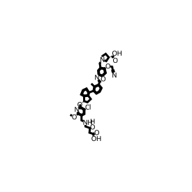 COc1nc(O[C@H]2CCc3c(-c4cccc(-c5nc6cc(CN7CC[C@H](C(=O)O)C7)c(OCC#N)cc6o5)c4C)cccc32)c(Cl)cc1CNC[C@@H](O)CC(=O)O